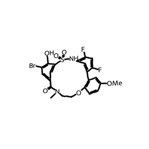 COc1ccc2c(c1)-c1cc(c(F)cc1F)NS(=O)(=O)c1cc(cc(Br)c1O)C(=O)N(C)CCO2